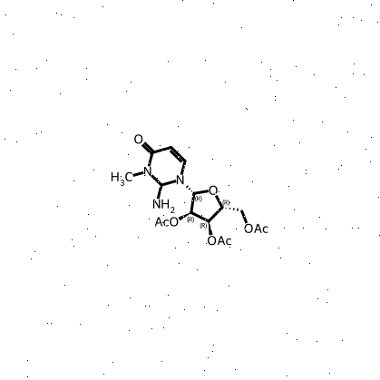 CC(=O)OC[C@H]1O[C@@H](N2C=CC(=O)N(C)C2N)[C@H](OC(C)=O)[C@@H]1OC(C)=O